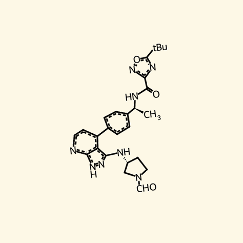 C[C@H](NC(=O)c1noc(C(C)(C)C)n1)c1ccc(-c2ccnc3[nH]nc(N[C@@H]4CCN(C=O)C4)c23)cc1